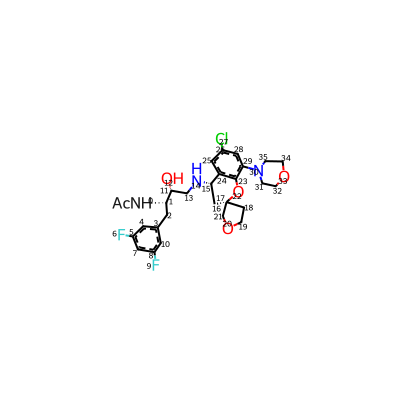 CC(=O)N[C@@H](Cc1cc(F)cc(F)c1)[C@H](O)CN[C@H]1C[C@@]2(CCOC2)Oc2c1cc(Cl)cc2N1CCOCC1